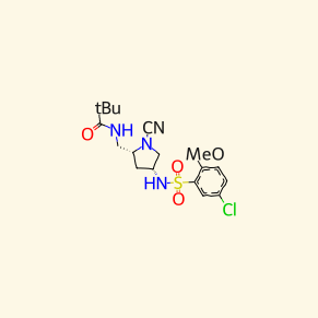 COc1ccc(Cl)cc1S(=O)(=O)N[C@@H]1C[C@H](CNC(=O)C(C)(C)C)N(C#N)C1